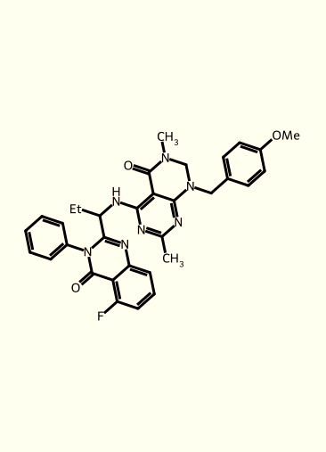 CCC(Nc1nc(C)nc2c1C(=O)N(C)CN2Cc1ccc(OC)cc1)c1nc2cccc(F)c2c(=O)n1-c1ccccc1